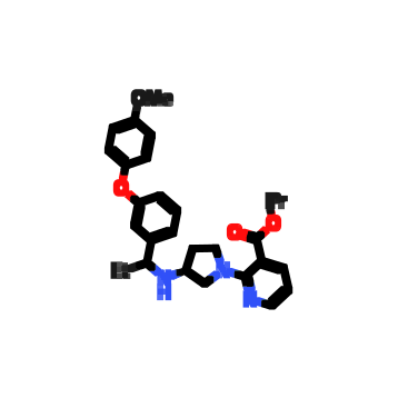 CCC(N[C@H]1CCN(c2ncccc2C(=O)OC(C)C)C1)c1cccc(Oc2ccc(OC)cc2)c1